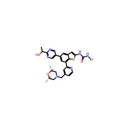 CCNC(=O)Nc1cc2cc(-c3cnc(C(C)O)nc3)cc(-c3cc(CN4C[C@@H](C)O[C@@H](C)C4)ccn3)c2s1